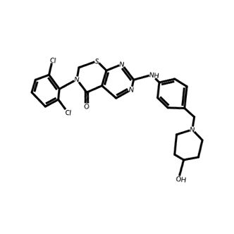 O=C1c2cnc(Nc3ccc(CN4CCC(O)CC4)cc3)nc2SCN1c1c(Cl)cccc1Cl